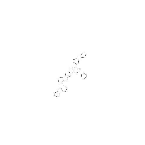 NC(NC(/C=C/c1ccccc1)c1ccc2c(c1)oc1c(C3CC=Cc4c3oc3ccccc43)cccc12)c1ccc2sc3ccccc3c2c1